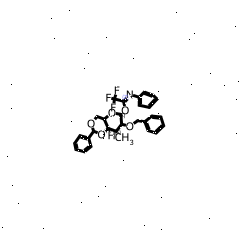 C[C@@H]1C(OCc2ccccc2)[C@H](O/C(=N\c2ccccc2)C(F)(F)F)OC2COC(c3ccccc3)O[C@@H]21